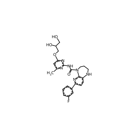 Cc1cc(OCC(O)CO)nc(NC(=O)N2CCCNc3ccc(-c4cccc(F)c4)nc32)n1